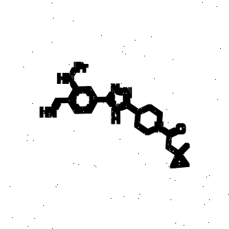 CC(C)Nc1cc(-c2nnc(C3CCN(C(=O)CC4(C)CC4)CC3)[nH]2)ccc1C=N